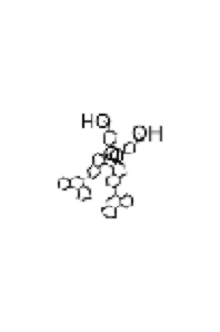 OCc1ccc(Oc2ccc3cc(-c4cc5ccccc5c5ccccc45)ccc3c2-c2c(Oc3ccc(CO)cc3)ccc3cc(-c4cc5ccccc5c5ccccc45)ccc23)cc1